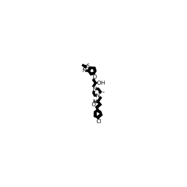 Cc1nc2cc(OC[C@@H](O)CN3CCN(Cc4cc(-c5ccc(Cl)cc5)on4)[C@@H](C)C3)ccc2s1